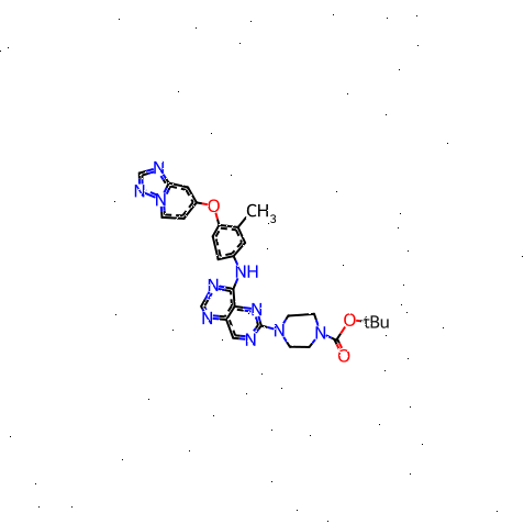 Cc1cc(Nc2ncnc3cnc(N4CCN(C(=O)OC(C)(C)C)CC4)nc23)ccc1Oc1ccn2ncnc2c1